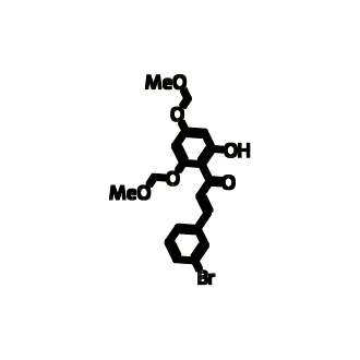 COCOc1cc(O)c(C(=O)C=Cc2cccc(Br)c2)c(OCOC)c1